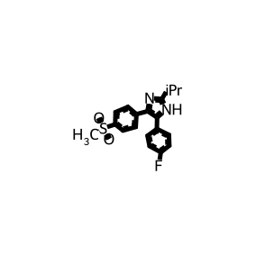 CC(C)c1nc(-c2ccc(S(C)(=O)=O)cc2)c(-c2ccc(F)cc2)[nH]1